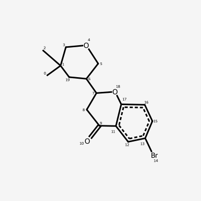 CC1(C)COCC(C2CC(=O)c3cc(Br)ccc3O2)C1